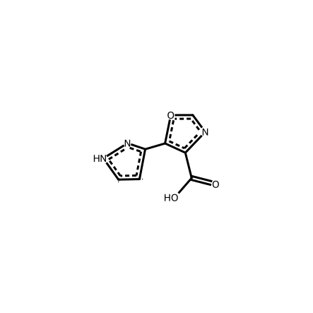 O=C(O)c1ncoc1-c1[c][c][nH]n1